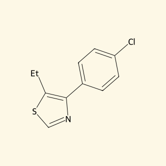 CCc1scnc1-c1ccc(Cl)cc1